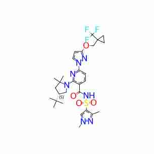 Cc1nn(C)cc1S(=O)(=O)NC(=O)c1ccc(-n2ccc(OCC3(C(F)(F)F)CC3)n2)nc1N1C[C@H](C(C)(C)C)CC1(C)C